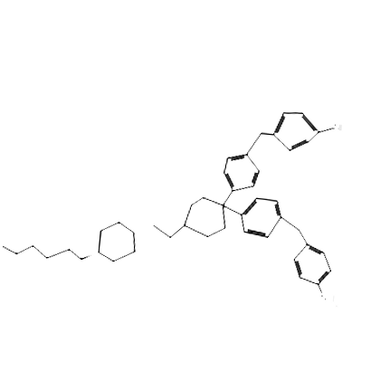 CCCCCC[C@H]1CC[C@H](CCC2CCC(c3ccc(Cc4ccc(N)cc4)cc3)(c3ccc(Cc4ccc(N)cc4)cc3)CC2)CC1